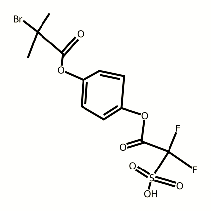 CC(C)(Br)C(=O)Oc1ccc(OC(=O)C(F)(F)S(=O)(=O)O)cc1